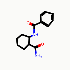 NC(=O)C1CCCCC1NC(=O)c1ccccc1